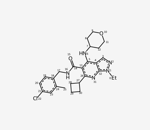 CCn1ncc2c(NC3CCOCC3)c(C(=O)NCc3ccc(Cl)cc3C)c(C3CCC3)nc21